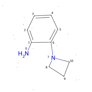 Nc1ccccc1N1CCC1